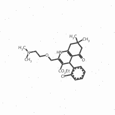 CCOC(=O)C1=C(COCCN(C)C)NC2=C(C(=O)CC(C)(C)C2)C1c1ccccc1Cl